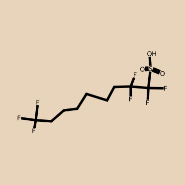 O=S(=O)(O)C(F)(F)C(F)(F)CCCCCCC(F)(F)F